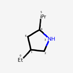 CCC1CNC(C(C)C)C1